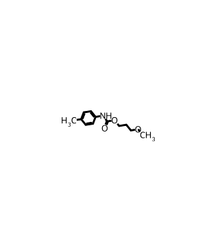 COCCCOC(=O)Nc1ccc(C)cc1